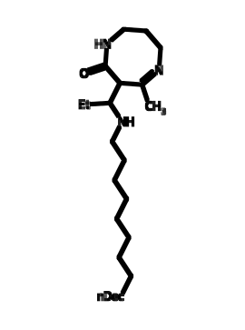 CCCCCCCCCCCCCCCCCCNC(CC)C1C(=O)NCCCN=C1C